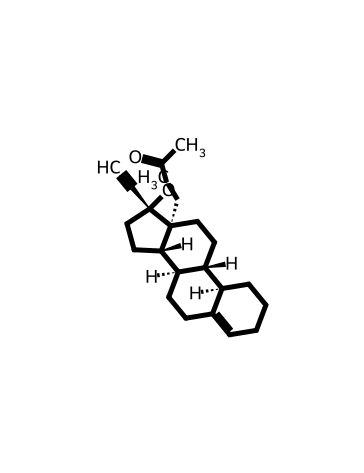 C#C[C@]1(OC(C)=O)CC[C@H]2[C@@H]3CCC4=CCCC[C@@H]4[C@H]3CC[C@@]21CC